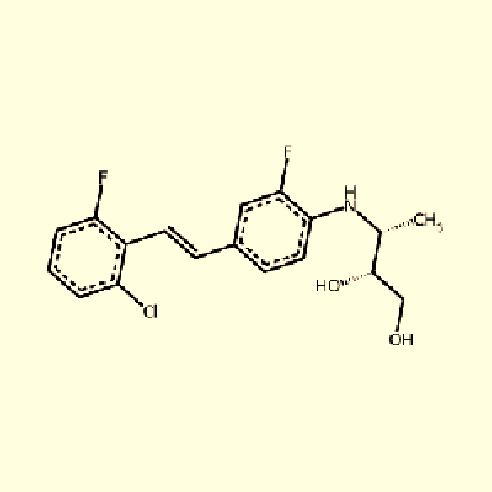 C[C@@H](Nc1ccc(C=Cc2c(F)cccc2Cl)cc1F)[C@@H](O)CO